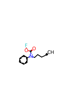 C#CCCCN(C(=O)OF)c1ccccc1